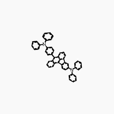 c1ccc(N(c2ccccc2)c2ccc(-c3c4ccccc4c4c5c(cccc35)-c3cc(N(c5ccccc5)c5ccccc5)ccc3-4)cc2)cc1